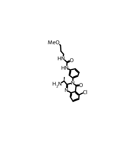 COCCCNC(=O)Nc1cccc(-n2c([C@H](C)N)nc3cccc(Cl)c3c2=O)c1